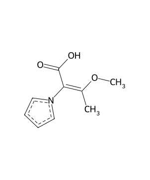 CO/C(C)=C(\C(=O)O)n1cccc1